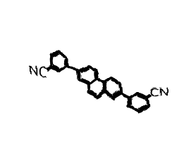 N#Cc1cccc(-c2ccc3c(ccc4cc(-c5cccc(C#N)c5)ccc43)c2)c1